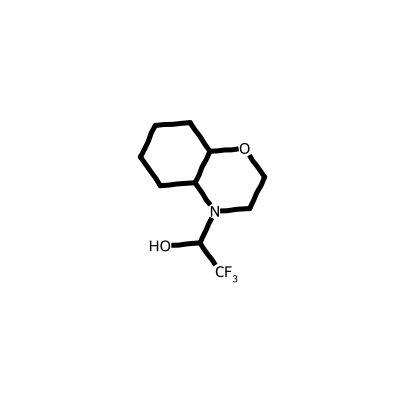 OC(N1CCOC2CCCCC21)C(F)(F)F